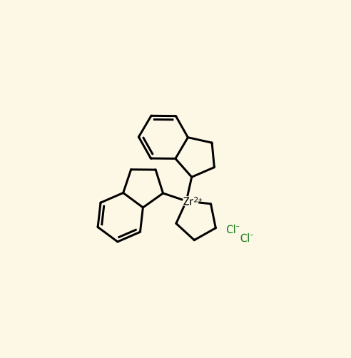 C1=CC2CC[CH]([Zr+2]3([CH]4CCC5C=CC=CC54)[CH2]CC[CH2]3)C2C=C1.[Cl-].[Cl-]